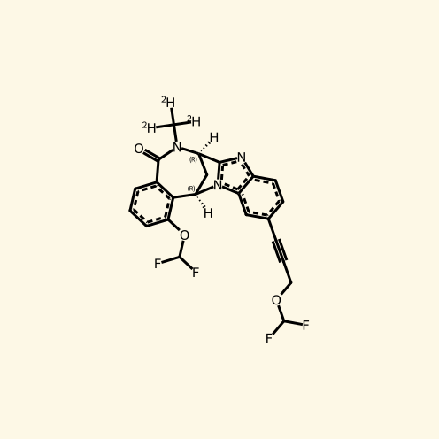 [2H]C([2H])([2H])N1C(=O)c2cccc(OC(F)F)c2[C@H]2C[C@@H]1c1nc3ccc(C#CCOC(F)F)cc3n12